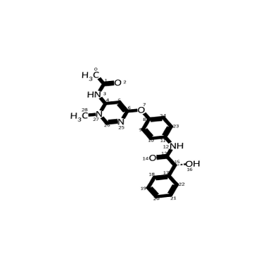 CC(=O)NC1C=C(Oc2ccc(NC(=O)[C@H](O)c3ccccc3)cc2)N=CN1C